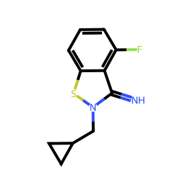 N=c1c2c(F)cccc2sn1CC1CC1